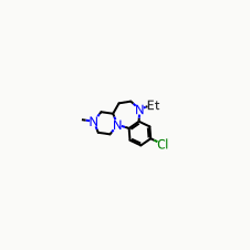 CCN1CCC2CN(C)CCN2c2ccc(Cl)cc21